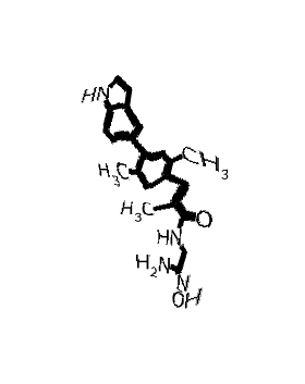 C/C(=C\c1cc(C)c(-c2ccc3[nH]ccc3c2)cc1C)C(=O)NC/C(N)=N/O